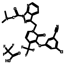 CN(C)CC(=O)n1nc(Cn2ccc(C(F)(F)F)c(Oc3cc(Cl)cc(C#N)c3)c2=O)c2cccnc21.O=C(O)C(F)(F)F